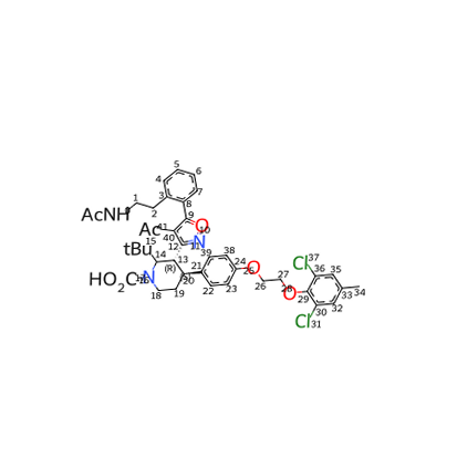 CC(=O)NCCc1ccccc1-c1onc([C@H]2C(C(C)(C)C)N(C(=O)O)CC[C@@H]2c2ccc(OCCOc3c(Cl)cc(C)cc3Cl)cc2)c1C(C)=O